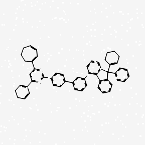 C1=CCCCC(c2cc(C3=CCCC=C3)nc(-c3ccc(-c4cccc(-c5cccc6c5-c5ccccc5C6(C5=CCCCC5)c5ccccc5)c4)cc3)n2)=C1